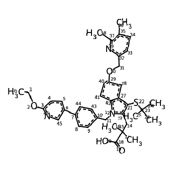 CCOc1ccc(-c2ccc(Cn3c(CC(C)(C)C(=O)O)c(SC(C)(C)C)c4cc(OCc5ccc(C)c(C)n5)ccc43)cc2)cn1